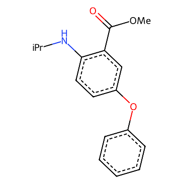 COC(=O)c1cc(Oc2ccccc2)ccc1NC(C)C